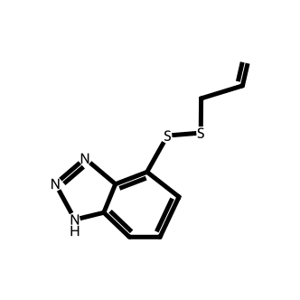 C=CCSSc1cccc2[nH]nnc12